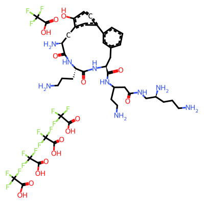 NCCC[C@H](N)CNC(=O)CC(CCN)NC(=O)[C@@H]1Cc2cccc(c2)-c2ccc(O)c(c2)C[C@H](N)C(=O)N[C@@H](CCCN)C(=O)N1.O=C(O)C(F)(F)F.O=C(O)C(F)(F)F.O=C(O)C(F)(F)F.O=C(O)C(F)(F)F.O=C(O)C(F)(F)F